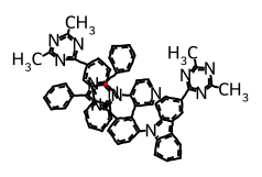 Cc1nc(C)nc(-c2ccc3c(c2)c2ccccc2n3-c2ccncc2-c2c(-c3nc(-c4ccccc4)nc(-c4ccccc4)n3)cccc2-n2c3ccccc3c3cc(-c4nc(C)nc(C)n4)ccc32)n1